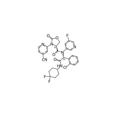 N#Cc1ccnc(N2C(=O)OC[C@H]2C(=O)N(c2cncc(F)c2)[C@H](C(=O)NC2CCC(F)(F)CC2)c2ccccc2Cl)c1